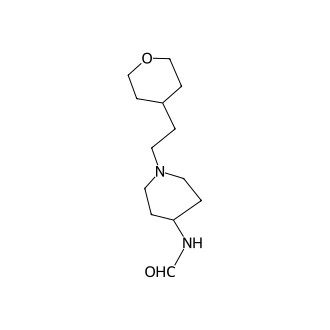 O=CNC1CCN(CCC2CCOCC2)CC1